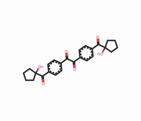 O=C(C(=O)c1ccc(C(=O)C2(O)CCCC2)cc1)c1ccc(C(=O)C2(O)CCCC2)cc1